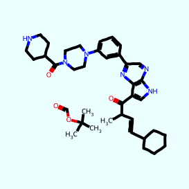 CC(C)(C)OC=O.CC(C=CC1CCCCC1)C(=O)c1c[nH]c2ncc(-c3cccc(N4CCN(C(=O)C5CCNCC5)CC4)c3)nc12